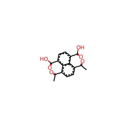 CC(=O)c1ccc(C(C)=O)c2c(C(=O)O)ccc(C(=O)O)c12